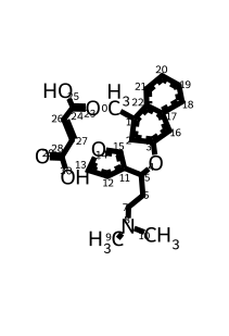 Cc1cc(OC(CCN(C)C)c2ccoc2)cc2ccccc12.O=C(O)C=CC(=O)O